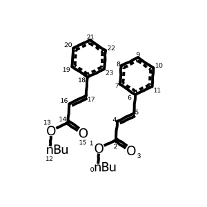 CCCCOC(=O)/C=C/c1ccccc1.CCCCOC(=O)/C=C/c1ccccc1